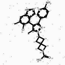 Cc1cc2[nH]ncc2c(-c2c(-c3ccc(N)nc3)nn(C3CC4(C3)CN(C(=O)O)C4)c2C)c1Cl